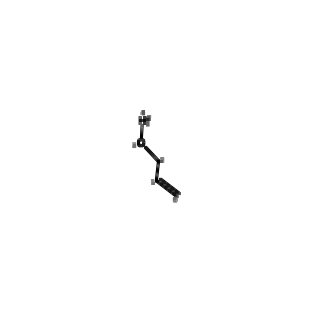 C=CC[O][Hf]